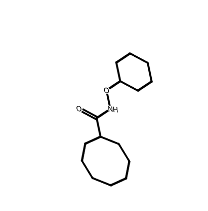 O=C(NOC1CCCCC1)C1CCCCCCC1